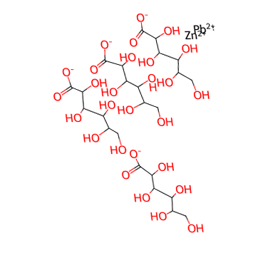 O=C([O-])C(O)C(O)C(O)C(O)CO.O=C([O-])C(O)C(O)C(O)C(O)CO.O=C([O-])C(O)C(O)C(O)C(O)CO.O=C([O-])C(O)C(O)C(O)C(O)CO.[Pb+2].[Zn+2]